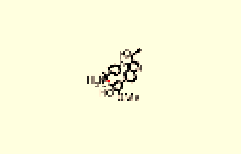 COc1cc(-c2ccc3ncc(C(=O)C4CC4)c(Nc4ccc(C(C)(C)N)cc4)c3c2)cc(Cl)c1O